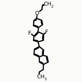 C=CCOc1ccc(-c2c(F)cc(-c3ccc4cc(CCC)ccc4c3)cc2F)cc1